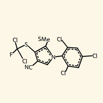 CSc1c(SC(F)(Cl)Cl)c(C#N)cn1-c1c(Cl)cc(Cl)cc1Cl